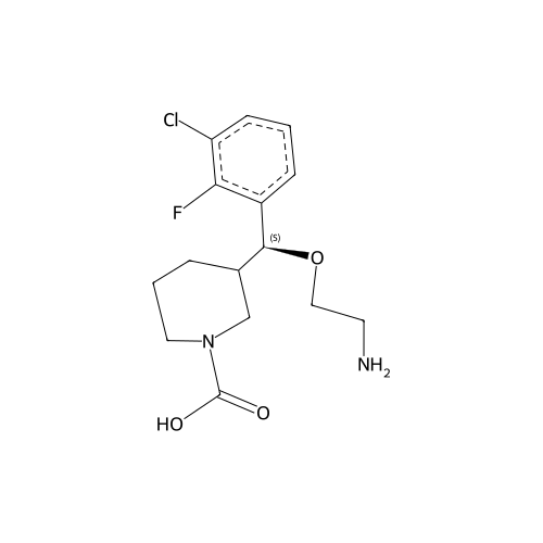 NCCO[C@H](c1cccc(Cl)c1F)C1CCCN(C(=O)O)C1